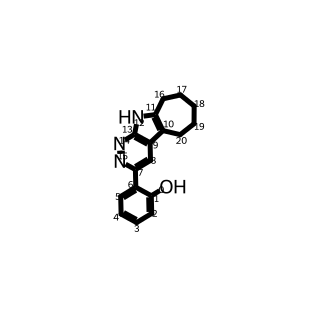 Oc1ccccc1-c1cc2c3c([nH]c2nn1)CCCCC3